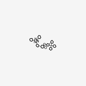 c1ccc(-c2nc(-c3ccccc3)nc(-c3cccc(-c4ccc5c(c4)Oc4cc6c(cc4O5)C(c4ccccc4)(c4ccccc4)c4ccccc4-6)c3)n2)cc1